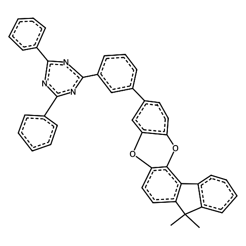 CC1(C)c2ccccc2-c2c1ccc1c2Oc2ccc(-c3cccc(-c4nc(-c5ccccc5)nc(-c5ccccc5)n4)c3)cc2O1